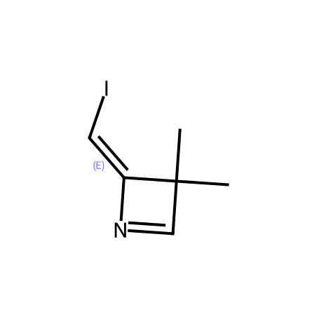 CC1(C)C=N/C1=C/I